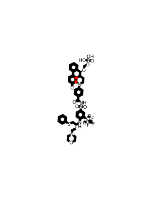 O=C(NS(=O)(=O)c1ccc(N[C@H](CCN2CCOCC2)CSc2ccccc2)c(S(=O)(=O)C(F)(F)F)c1)c1ccc(N2CCC([C@@H](OCOP(=O)(O)O)c3ccccc3-c3ccc(Cl)cc3)CC2)cc1